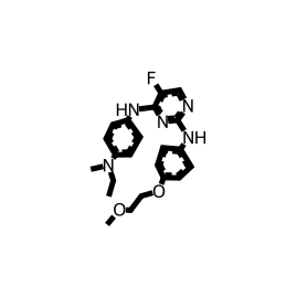 CCN(C)c1ccc(Nc2nc(Nc3ccc(OCCOC)cc3)ncc2F)cc1